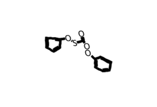 O=C(OOc1ccccc1)SOc1ccccc1